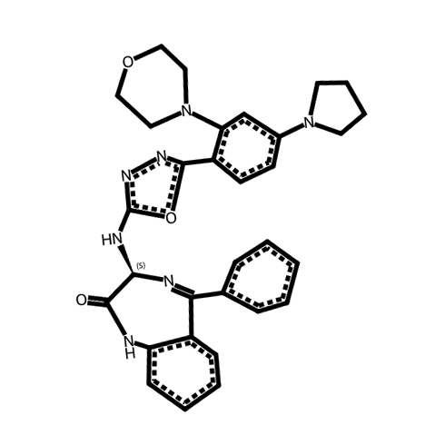 O=C1Nc2ccccc2C(c2ccccc2)=N[C@@H]1Nc1nnc(-c2ccc(N3CCCC3)cc2N2CCOCC2)o1